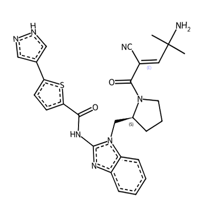 CC(C)(N)/C=C(\C#N)C(=O)N1CCC[C@H]1Cn1c(NC(=O)c2ccc(-c3cn[nH]c3)s2)nc2ccccc21